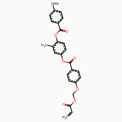 C=CC(=O)OCOc1ccc(C(=O)Oc2ccc(OC(=O)c3ccc(OC)cc3)c(C)c2)cc1